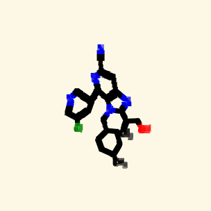 C=C(CO)c1nc2cc(C#N)nc(-c3cncc(Cl)c3)c2n1C[C@H]1CC[C@H](C)CC1